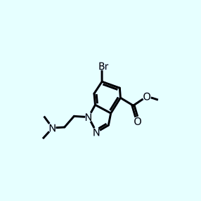 COC(=O)c1cc(Br)cc2c1cnn2CCN(C)C